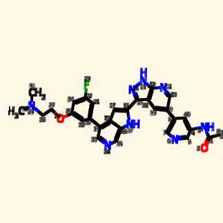 CC(C)C(=O)Nc1cncc(-c2cnc3[nH]nc(-c4cc5c(-c6cc(F)cc(OCCN(C)C)c6)cncc5[nH]4)c3c2)c1